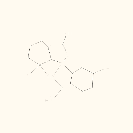 CCO[Si](OCC)(C1CCCC(C)C1)C1CCCCC1(C)C